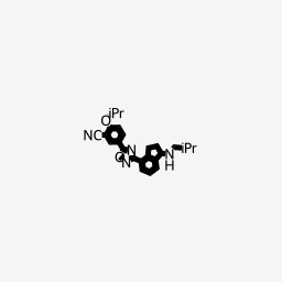 CC(C)CNC1CCc2c(-c3noc(-c4ccc(OC(C)C)c(C#N)c4)n3)cccc21